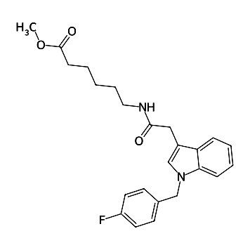 COC(=O)CCCCCNC(=O)Cc1cn(Cc2ccc(F)cc2)c2ccccc12